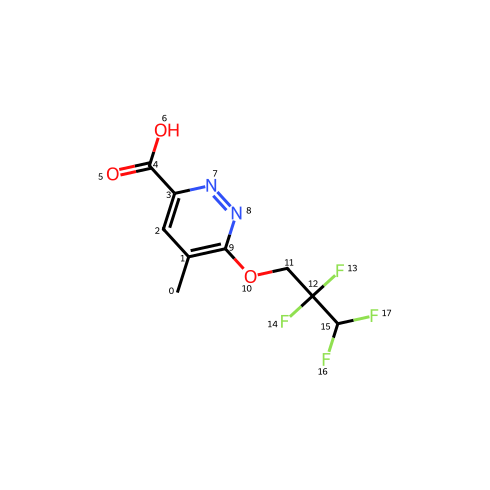 Cc1cc(C(=O)O)nnc1OCC(F)(F)C(F)F